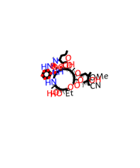 CC[C@H]1OC(=O)[C@H](C)[C@@H](O[C@H]2C[C@@](C)(OC)[C@](O)(CC#N)[C@H](C)O2)[C@H](C)[C@@H](OC2OC(C)CC(N(C)C(=O)Nc3ccccc3)C2OC(=O)Nc2ccccc2)[C@](C)(O)C[C@@H](C)CN[C@H](C)[C@@H](O)[C@]1(C)O